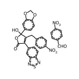 O=C1OC(O)(c2ccc3c(c2)OCO3)C(Cc2ccc([N+](=O)[O-])cc2)=C1c1ccc2nsnc2c1.O=Cc1ccc([N+](=O)[O-])cc1